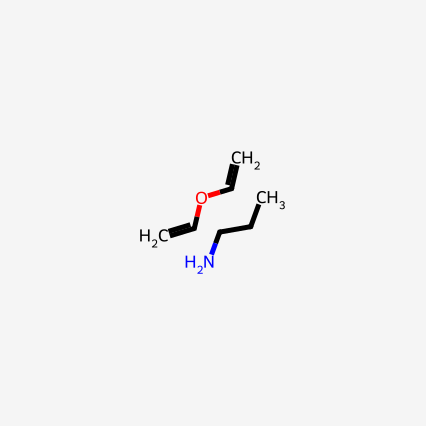 C=COC=C.CCCN